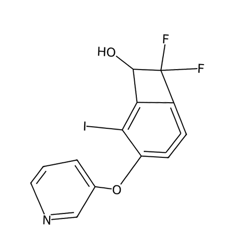 OC1C2=C(I)C(Oc3cccnc3)=C=C=C2C1(F)F